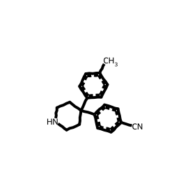 Cc1ccc(C2(c3ccc(C#N)cc3)CCNCC2)cc1